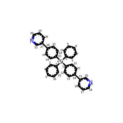 c1ccc([Si](c2ccccc2)(c2ccc(-c3cccnc3)cc2)c2ccc(-c3cccnc3)cc2)cc1